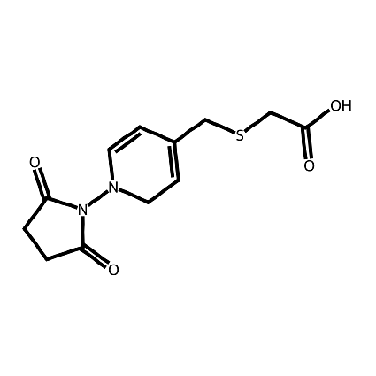 O=C(O)CSCC1=CCN(N2C(=O)CCC2=O)C=C1